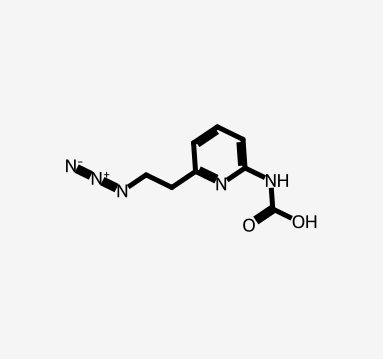 [N-]=[N+]=NCCc1cccc(NC(=O)O)n1